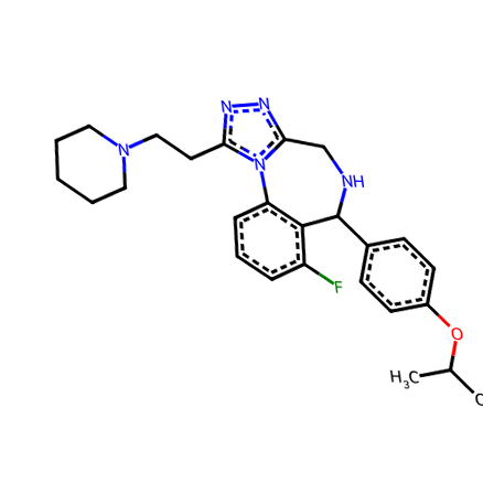 CC(C)Oc1ccc(C2NCc3nnc(CCN4CCCCC4)n3-c3cccc(F)c32)cc1